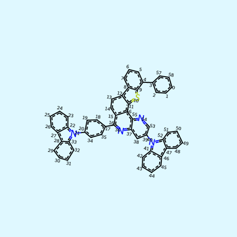 c1ccc(-c2cccc3c2sc2c3ccc3c(-c4ccc(-n5c6ccccc6c6ccccc65)cc4)nc4cc(-n5c6ccccc6c6ccccc65)cnc4c32)cc1